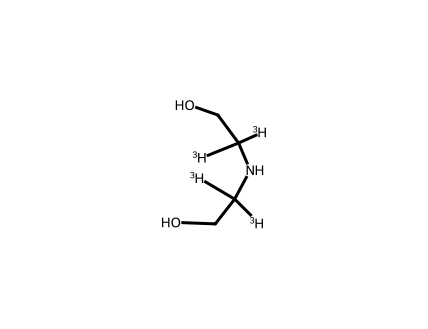 [3H]C([3H])(CO)NC([3H])([3H])CO